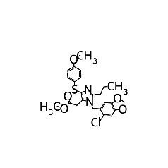 CCCc1nc(Sc2ccc(OC)cc2)c(CC(=O)OC)n1Cc1cc2c(cc1Cl)OCO2